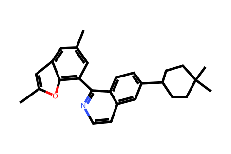 Cc1cc(-c2nccc3cc(C4CCC(C)(C)CC4)ccc23)c2oc(C)cc2c1